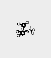 Clc1cccc(Cl)c1.O=C(Cl)NN=Cc1ccc(Cl)c(Cl)c1Cl